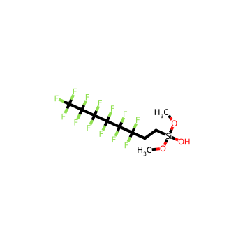 CO[Si](O)(CCC(F)(F)C(F)(F)C(F)(F)C(F)(F)C(F)(F)C(F)(F)F)OC